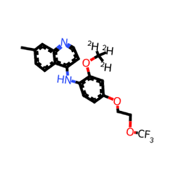 [2H]C([2H])([2H])Oc1cc(OCCOC(F)(F)F)ccc1Nc1ccnc2cc(C)ccc12